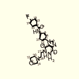 NC(=O)c1ncn(-c2ccc(NC(=O)c3ccc(F)cc3)cc2)c1C(=O)NCCN1CCOCC1